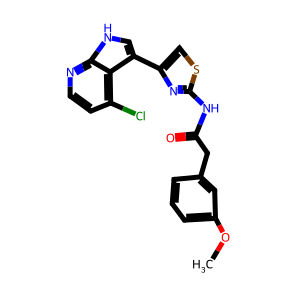 COc1cccc(CC(=O)Nc2nc(-c3c[nH]c4nccc(Cl)c34)cs2)c1